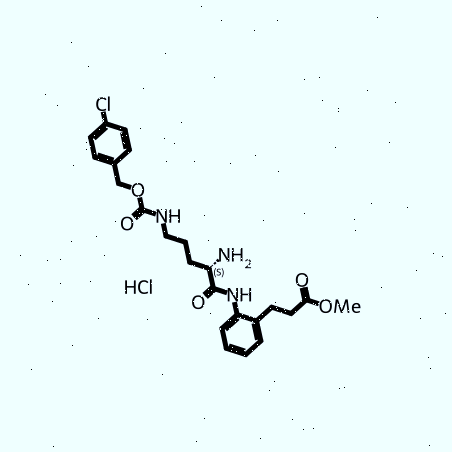 COC(=O)CCc1ccccc1NC(=O)[C@@H](N)CCCNC(=O)OCc1ccc(Cl)cc1.Cl